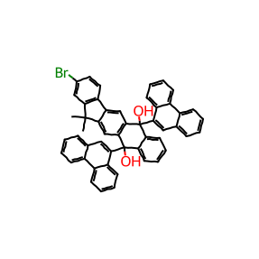 CC1(C)c2cc(Br)ccc2-c2cc3c(cc21)C(O)(c1cc2ccccc2c2ccccc12)c1ccccc1C3(O)c1cc2ccccc2c2ccccc12